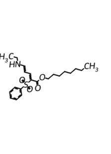 CCCCCCCCOC(=O)/C(=C/C=C/NCC)S(=O)(=O)c1ccccc1